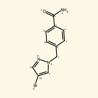 NC(=O)c1ccc(Cn2cc(Br)cn2)cc1